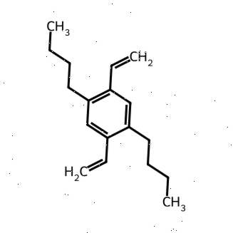 C=Cc1cc(CCCC)c(C=C)cc1CCCC